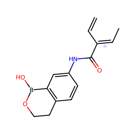 C=C/C(=C\C)C(=O)Nc1ccc2c(c1)B(O)OCC2